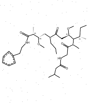 CCCN(C[C@H](OC)[C@@H](C)C(=O)NCCc1ccccc1)C(=O)C[C@@H](OC)C([C@@H](C)CC)N(C)C(=O)CNC(=O)CC(C)C